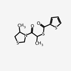 CC(SC(=O)c1cccs1)C(=O)N1CSCC1C